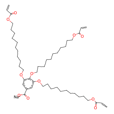 C=CC(=O)OCCCCCCCCCCCOc1cc(C(=O)[O-])cc(OCCCCCCCCCCCOC(=O)C=C)c1OCCCCCCCCCCCOC(=O)C=C.[Na+]